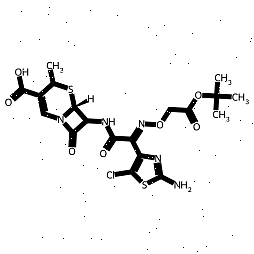 CC1S[C@@H]2C(NC(=O)C(=NOCC(=O)OC(C)(C)C)c3nc(N)sc3Cl)C(=O)N2C=C1C(=O)O